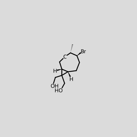 C[C@H]1CC[C@@H]2[C@H](CC[C@@H]1Br)C2(CO)CO